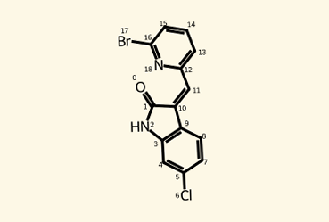 O=C1Nc2cc(Cl)ccc2C1=Cc1cccc(Br)n1